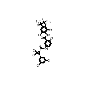 CCc1cc(C(F)(C(F)(F)F)C(F)(F)C(F)(F)F)cc(CC)c1NC(=O)c1cc(NC(=O)[C@@H]2[C@@H](c3cc(Cl)cc(Cl)c3)C2(Cl)Cl)ccc1Cl